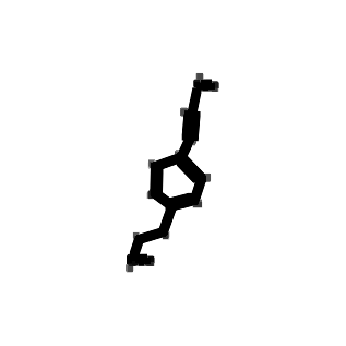 COCCc1ccc(C#CSC)cc1